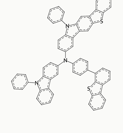 c1ccc(-n2c3ccccc3c3cc(N(c4ccc(-c5cccc6c5sc5ccccc56)cc4)c4ccc5c(c4)c4cc6sc7ccccc7c6cc4n5-c4ccccc4)ccc32)cc1